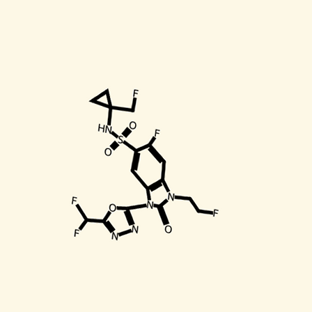 O=c1n(CCF)c2cc(F)c(S(=O)(=O)NC3(CF)CC3)cc2n1-c1nnc(C(F)F)o1